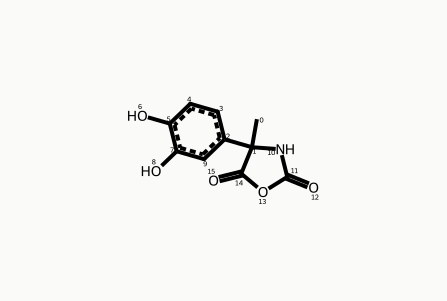 CC1(c2ccc(O)c(O)c2)NC(=O)OC1=O